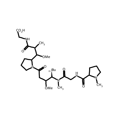 CC[C@H](C)C(C(CC(=O)N1CCCC1C(OC)C(C)C(=O)NCC(=O)O)OC)N(C)C(=O)CNC(=O)C1CCCN1C